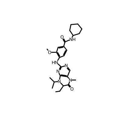 CCC1C(=O)N(C)c2cnc(Nc3ccc(C(=O)NC4CCCCC4)cc3OC)nc2N1C(C)C